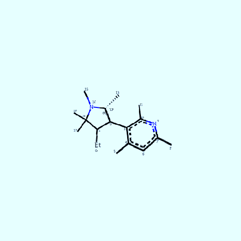 CCC1C(c2c(C)cc(C)nc2C)[C@@H](C)N(C)C1(C)C